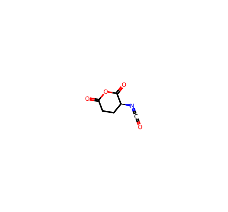 O=C=N[C@H]1CCC(=O)OC1=O